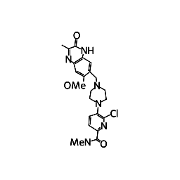 CNC(=O)c1ccc(N2CCN(Cc3cc4[nH]c(=O)c(C)nc4cc3OC)CC2)c(Cl)n1